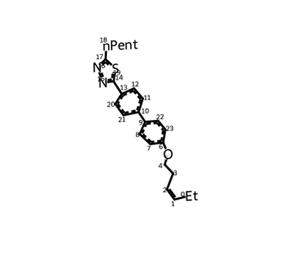 CC/C=C\CCOc1ccc(-c2ccc(-c3nnc(CCCCC)s3)cc2)cc1